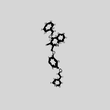 Cc1c(COc2cccc(OCCc3ccncc3)c2)nc2ccccc2c1OCc1ccccc1